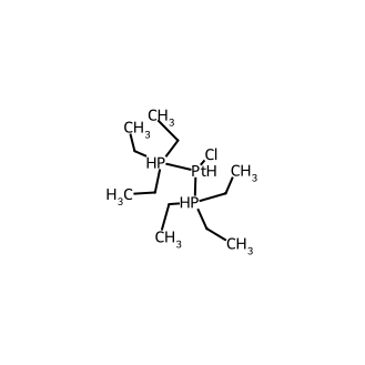 CC[PH](CC)(CC)[PtH]([Cl])[PH](CC)(CC)CC